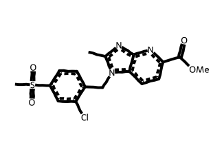 COC(=O)c1ccc2c(n1)nc(C)n2Cc1ccc(S(C)(=O)=O)cc1Cl